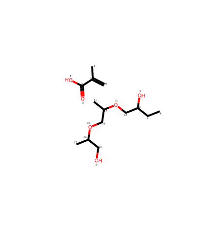 C=C(C)C(=O)O.CCC(O)COC(C)COC(C)CO